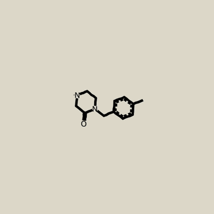 Cc1ccc(CN2CC[N]CC2=O)cc1